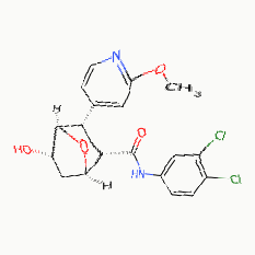 COc1cc([C@H]2[C@H]3O[C@H](C[C@@H]3O)[C@H]2C(=O)Nc2ccc(Cl)c(Cl)c2)ccn1